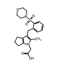 Cc1c(Cc2ccccc2S(=O)(=O)N2CCOCC2)c2c(n1CC(=O)O)CCC2